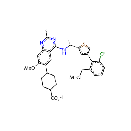 CNCc1cccc(Cl)c1-c1csc([C@@H](C)Nc2nc(C)nc3cc(OC)c(C4CCC(C(=O)O)CC4)cc23)c1